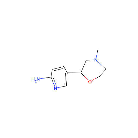 CN1CCOC(c2ccc(N)nc2)C1